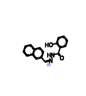 O=C(N/N=C\c1ccc2ccccc2c1)c1ccccc1O